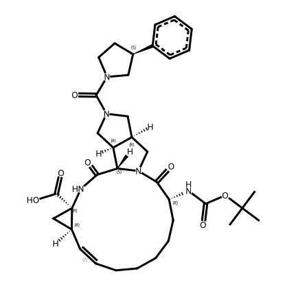 CC(C)(C)OC(=O)N[C@@H]1CCCCC/C=C\[C@H]2C[C@@]2(C(=O)O)NC(=O)[C@@H]2[C@H]3CN(C(=O)N4CC[C@@H](c5ccccc5)C4)C[C@H]3CN2C1=O